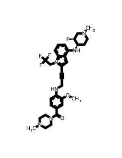 COc1cc(C(=O)N2CCN(C)CC2)ccc1NCC#Cc1cc2c(N[C@@H]3CCN(C)C[C@@H]3F)cccc2n1CC(F)(F)F